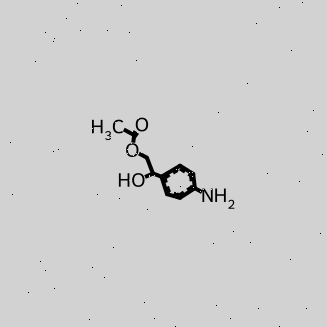 CC(=O)OCC(O)c1ccc(N)cc1